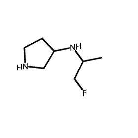 CC(CF)NC1CCNC1